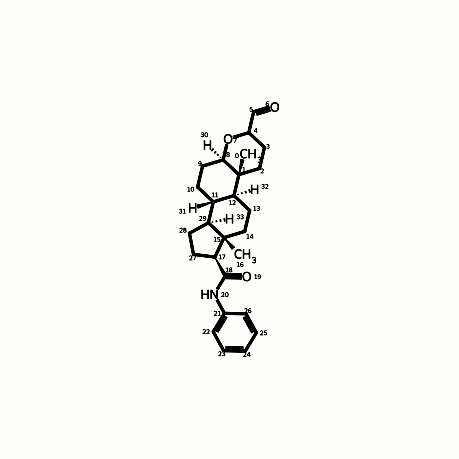 C[C@]12CCC(C=O)O[C@@H]1CC[C@@H]1[C@@H]2CC[C@]2(C)[C@@H](C(=O)Nc3ccccc3)CC[C@@H]12